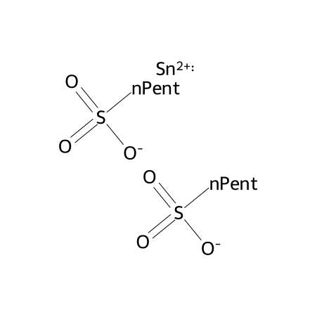 CCCCCS(=O)(=O)[O-].CCCCCS(=O)(=O)[O-].[Sn+2]